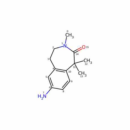 CN1CCc2cc(N)ccc2C(C)(C)C1=O